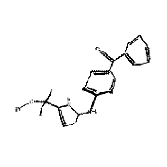 CC(C)OC(C)(C)C1=CSC(Nc2ccc(C(=O)c3ccccc3)cc2)N1